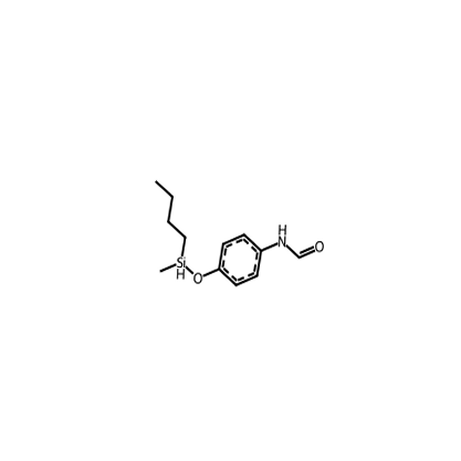 CCCC[SiH](C)Oc1ccc(NC=O)cc1